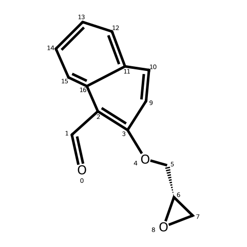 O=Cc1c(OC[C@@H]2CO2)ccc2ccccc12